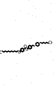 C=CCCCCCCCCCCOc1ccc(C(=O)Oc2ccc(CC[C@H]3CC[C@H](CCCCCCC)CC3)cc2)cc1